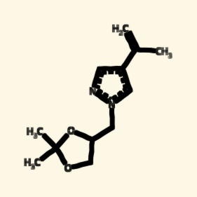 C=C(C)c1cnn(CC2COC(C)(C)O2)c1